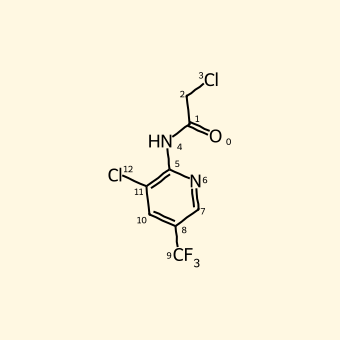 O=C(CCl)Nc1ncc(C(F)(F)F)cc1Cl